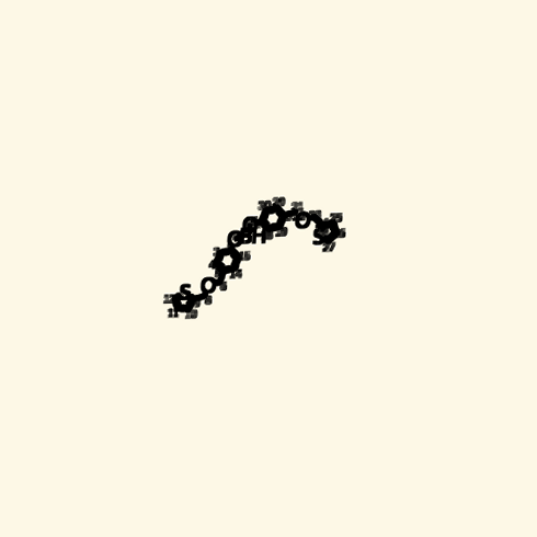 B(Oc1ccc(COCc2cccs2)cc1)Oc1ccc(COCc2cccs2)cc1